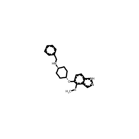 CSc1c(O[C@H]2CC[C@H](NCc3ccccc3)CC2)ccc2[nH]ncc12